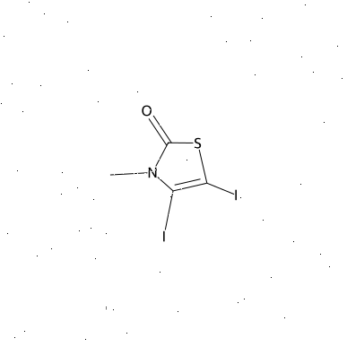 Cn1c(I)c(I)sc1=O